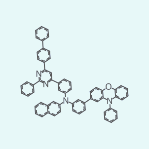 c1ccc(-c2ccc(-c3cc(-c4cccc(N(c5cccc(-c6ccc7c(c6)N(c6ccccc6)c6ccccc6O7)c5)c5ccc6ccccc6c5)c4)nc(-c4ccccc4)n3)cc2)cc1